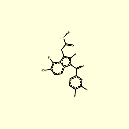 Cc1c(CC(=O)NC(C)C)c2c(F)c(O)ccc2n1C(=O)c1ccc(F)c(F)c1